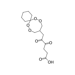 O=C(O)CCC(=O)C(=O)CC1COOC2(CCCCC2)OOC1